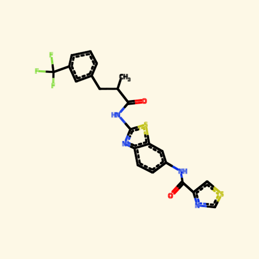 CC(Cc1cccc(C(F)(F)F)c1)C(=O)Nc1nc2ccc(NC(=O)c3cscn3)cc2s1